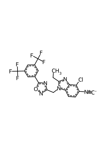 [C-]#[N+]c1ccc2c(nc(CC)n2Cc2noc(-c3cc(C(F)(F)F)cc(C(F)(F)F)c3)n2)c1Cl